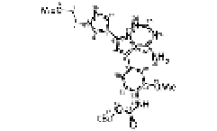 COCCn1cc(-c2cc(-c3ccc(NC(=O)OC(C)(C)C)c(OC)c3)c3c(N)ncnn23)cn1